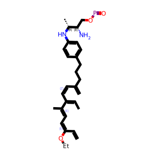 C=C/C(=C\C=C(/C)C(=CC)/C=C\C(=C)CCCc1ccc(N[C@H](C)[C@@H](N)COP=O)cc1)OCC